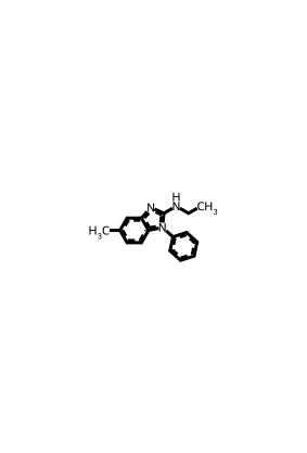 CCNc1nc2cc(C)ccc2n1-c1ccccc1